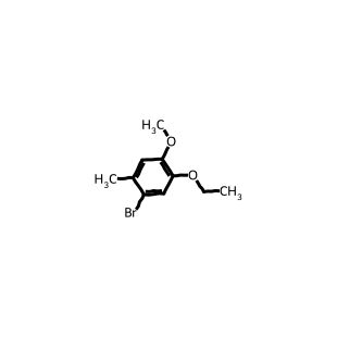 CCOc1cc(Br)c(C)cc1OC